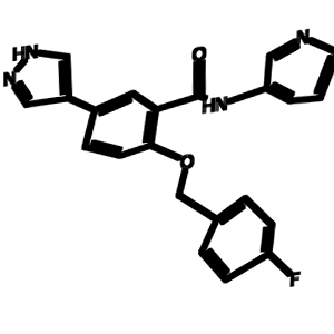 O=C(Nc1cccnc1)c1cc(-c2cn[nH]c2)ccc1OCc1ccc(F)cc1